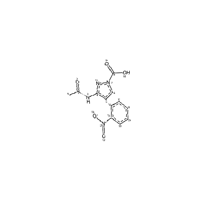 CC(=O)Nc1ccn(C(=O)O)n1.O=[N+]([O-])c1ccccc1